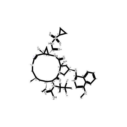 CC[C@@H]1C[C@@H](C)CC/C=C\[C@@H]2C[C@@]2(C(=O)NS(=O)(=O)C2CC2)NC(=O)[C@@H]2C[C@@H](Oc3ncc(OC)c4ccccc34)CN2C(=O)[C@H]1N(C(=O)O)C(C)(C)C(C)(F)F